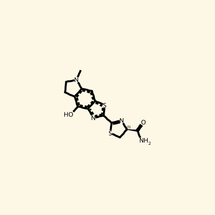 CN1CCc2c1cc1sc(C3=N[C@@H](C(N)=O)CS3)nc1c2O